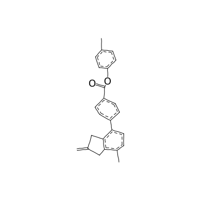 C=C1Cc2c(C)ccc(-c3ccc(C(=O)Oc4ccc(C)cc4)cc3)c2C1